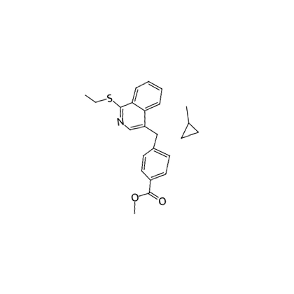 CC1CC1.CCSc1ncc(Cc2ccc(C(=O)OC)cc2)c2ccccc12